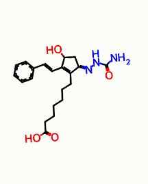 NC(=O)N/N=C1\CC(O)C(/C=C/c2ccccc2)=C1CCCCCCC(=O)O